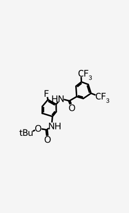 CC(C)(C)OC(=O)Nc1ccc(F)c(NC(=O)c2cc(C(F)(F)F)cc(C(F)(F)F)c2)c1